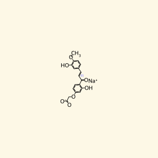 COc1ccc(/C=C/C(=O)c2ccc(OCC(=O)[O-])cc2O)cc1O.[Na+]